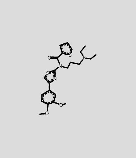 CCN(CC)CCCN(C(=O)c1cccs1)c1nc(-c2ccc(OC)c(OC)c2)cs1